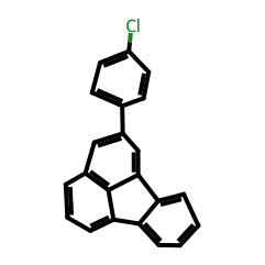 Clc1ccc(-c2cc3c4c(cccc4c2)-c2ccccc2-3)cc1